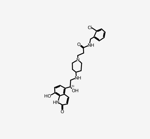 O=C(CCN1CCC(NC[C@@H](O)c2ccc(O)c3[nH]c(=O)ccc23)CC1)NCc1ccccc1Cl